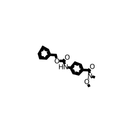 CON(C)C(=O)c1ccc(NC(=O)OCc2ccccc2)cc1